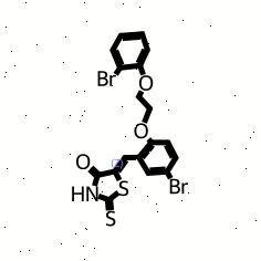 O=C1NC(=S)S/C1=C\c1cc(Br)ccc1OCCOc1ccccc1Br